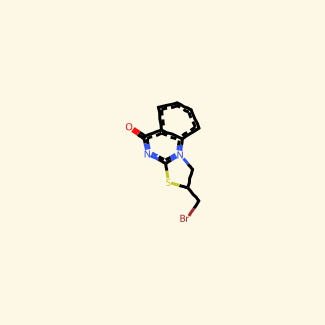 O=c1nc2n(c3ccccc13)CC(CBr)S2